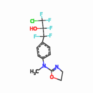 CN(C1=NCCO1)c1ccc(C(F)(F)C(O)(F)C(F)(F)Cl)cc1